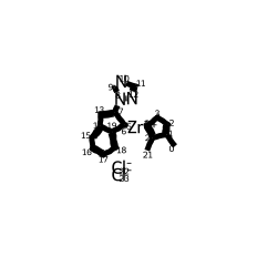 CC1=CC[C]([Zr+2][CH]2C(n3cncn3)=Cc3ccccc32)=C1C.[Cl-].[Cl-]